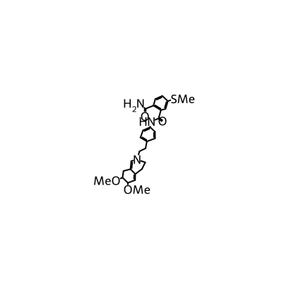 COC1C=C2CCN(CCc3ccc(NC(=O)c4cc(SC)ccc4C(N)=O)cc3)C=C2CC1OC